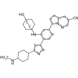 N#Cc1cnn2c(-c3cc(NC45CCC(O)(CC4)CC5)c(-c4nnc(C5CCC(NC(=O)O)CC5)s4)cn3)ccc2c1